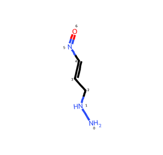 NNCC=CN=O